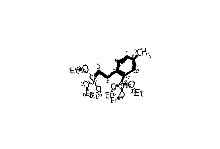 CCO[Si](CCc1ccc(C)cc1[Si](OCC)(OCC)OCC)(OCC)OCC